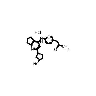 Cl.N#CC1CCC(c2cc(Nc3ccc(CC(N)=O)cc3)c3c(n2)CCC3)C1